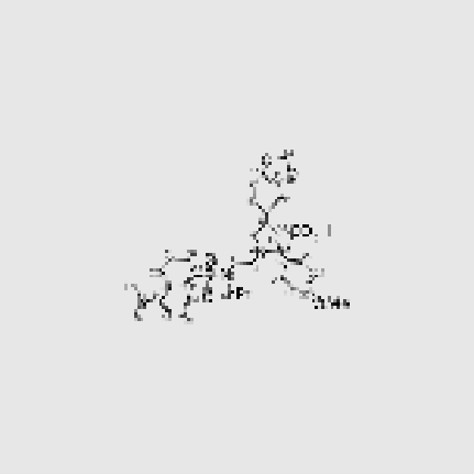 CCCN(CCN1CC(c2ccc3c(c2)OCO3)[C@H](C(=O)O)[C@H]1c1ccc(OC)cc1)S(=O)(=O)c1cccc2c(N(C)C)cccc12